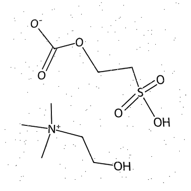 C[N+](C)(C)CCO.O=C([O-])OCCS(=O)(=O)O